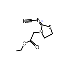 CCOC(=O)CN1CCS/C1=N/C#N